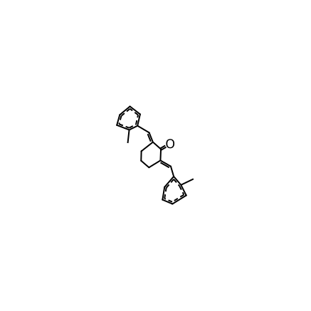 Cc1ccccc1/C=C1\CCC/C(=C\c2ccccc2C)C1=O